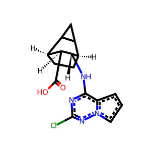 O=C(O)[C@@H]1[C@@H](Nc2nc(Cl)nn3cccc23)[C@@H]2CC[C@H]1C1CC12